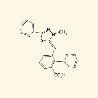 Cn1nc(-c2ccccn2)sc1=Nc1cccc(C(=O)O)c1-c1ccccn1